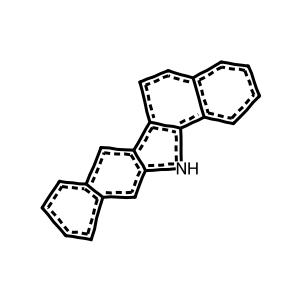 c1ccc2cc3c(cc2c1)[nH]c1c2ccccc2ccc31